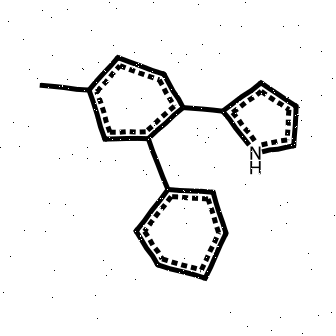 Cc1ccc(-c2ccc[nH]2)c(-c2ccccc2)c1